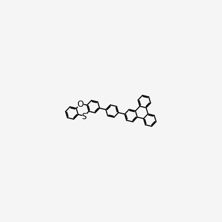 c1ccc2c(c1)Oc1ccc(-c3ccc(-c4ccc5c6ccccc6c6ccccc6c5c4)cc3)cc1S2